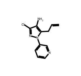 C=CCc1c(N)c(Cl)nn1-c1cccnc1